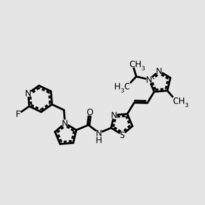 Cc1cnn(C(C)C)c1C=Cc1csc(NC(=O)c2cccn2Cc2ccnc(F)c2)n1